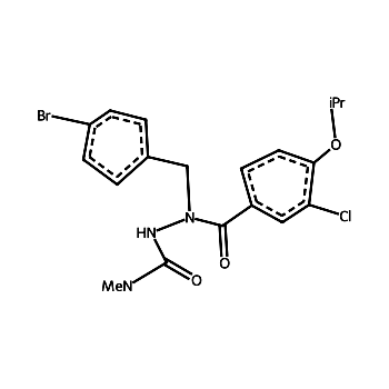 CNC(=O)NN(Cc1ccc(Br)cc1)C(=O)c1ccc(OC(C)C)c(Cl)c1